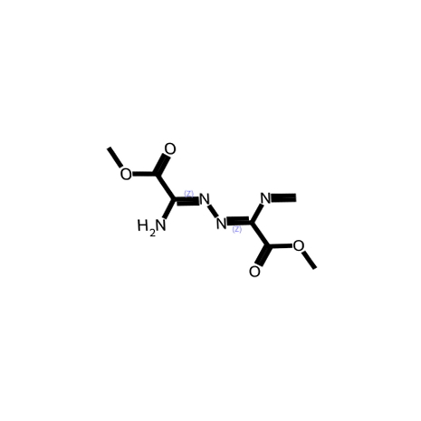 C=N/C(=N\N=C(/N)C(=O)OC)C(=O)OC